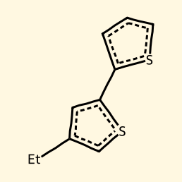 CCc1csc(-c2cccs2)c1